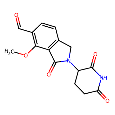 COc1c(C=O)ccc2c1C(=O)N(C1CCC(=O)NC1=O)C2